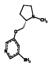 Bc1cncc(OC[C@@H]2CCCN2C)c1